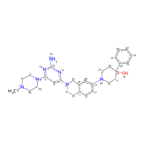 CN1CCN(c2cc(N3CCc4ccc(N5CCC(O)(c6ccccc6)CC5)cc4C3)nc(N)n2)CC1